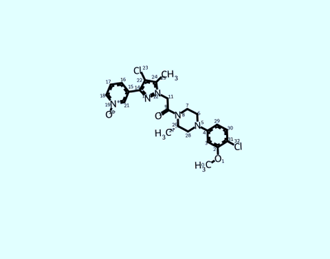 COc1cc(N2CCN(C(=O)Cn3nc(-c4ccc[n+]([O-])c4)c(Cl)c3C)[C@@H](C)C2)ccc1Cl